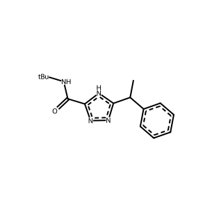 CC(c1ccccc1)c1nnc(C(=O)NC(C)(C)C)[nH]1